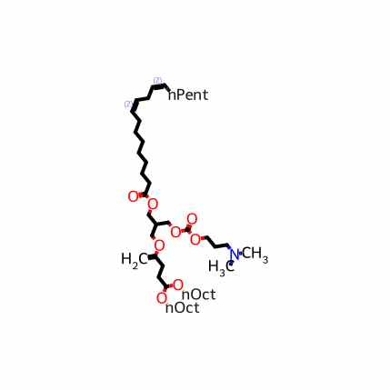 C=C(CCC(OCCCCCCCC)OCCCCCCCC)OCC(COC(=O)CCCCCCC/C=C\C/C=C\CCCCC)COC(=O)OCCCN(C)C